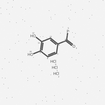 Cl.Cl.Cl.O=C([P])c1ccc(O)c(O)c1